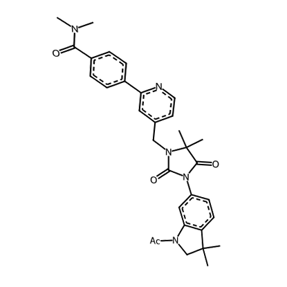 CC(=O)N1CC(C)(C)c2ccc(N3C(=O)N(Cc4ccnc(-c5ccc(C(=O)N(C)C)cc5)c4)C(C)(C)C3=O)cc21